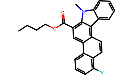 CCCCOC(=O)c1cc2c3cccc(F)c3ccc2c2c3ccccc3n(C)c12